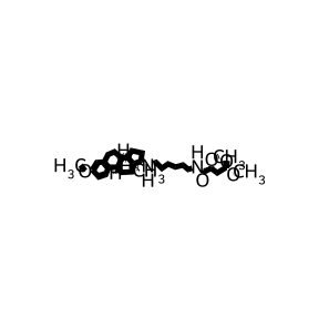 COC(=O)CC(OC)C(=O)NCCCCCCNC1CC[C@H]2[C@@H]3CCc4cc(OC)ccc4[C@H]3CC[C@]12C